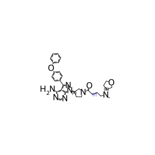 CN(C/C=C/C(=O)N1CC[C@@H](n2nc(-c3ccc(Oc4ccccc4)cc3)c3c(N)ncnc32)C1)[C@@H]1CCOC1